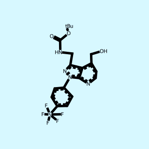 CC(C)(C)OC(=O)NCc1nn(-c2ccc(S(F)(F)(F)(F)F)cc2)c2nccc(CO)c12